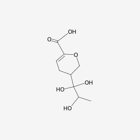 CC(O)C(O)(O)C1CC=C(C(=O)O)OC1